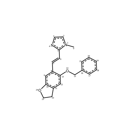 Cn1ccnc1C=Cc1cc2c(cc1OCc1ccccc1)CCO2